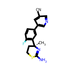 C[C@@]1(c2cc(-c3cncc(C#N)c3)ccc2F)CCSC(N)=N1